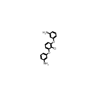 Nc1cccc(Oc2cccc(Oc3cccc(N)c3)c2Cl)c1